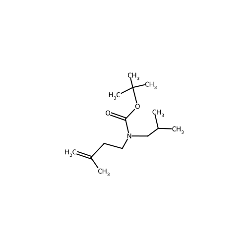 C=C(C)CCN(CC(C)C)C(=O)OC(C)(C)C